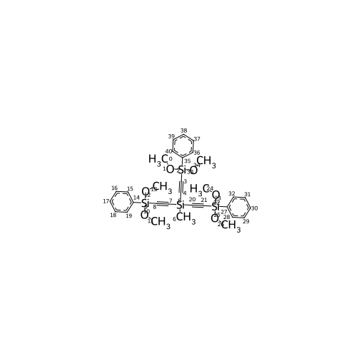 CO[Si](C#C[Si](C)(C#C[Si](OC)(OC)c1ccccc1)C#C[Si](OC)(OC)c1ccccc1)(OC)c1ccccc1